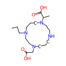 CCCN1CCCN(C(C)C(=O)O)CCNCCCN(CC(=O)O)CC1